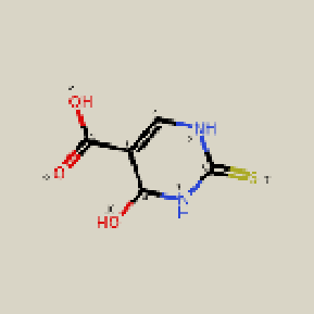 O=C(O)C1=CNC(=S)NC1O